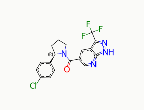 O=C(c1cnc2[nH]nc(C(F)(F)F)c2c1)N1CCC[C@@H]1c1ccc(Cl)cc1